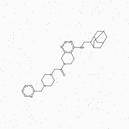 O=C(CN1CCN(Cc2ccccn2)CC1)N1CCc2c(ncnc2NCC2C3CC4CC(C3)CC2C4)C1